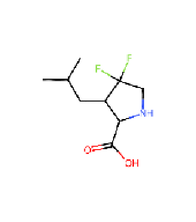 CC(C)CC1C(C(=O)O)NCC1(F)F